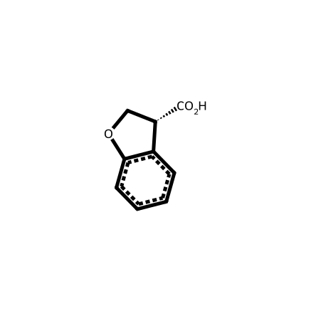 O=C(O)[C@H]1COc2ccccc21